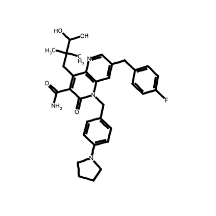 CC(C)(Cc1c(C(N)=O)c(=O)n(Cc2ccc(N3CCCC3)cc2)c2cc(Cc3ccc(F)cc3)cnc12)C(O)O